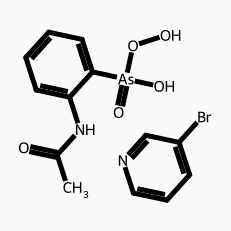 Brc1cccnc1.CC(=O)Nc1ccccc1[As](=O)(O)OO